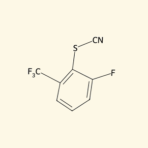 N#CSc1c(F)cccc1C(F)(F)F